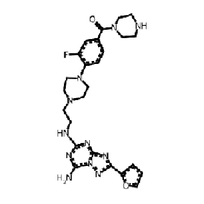 Nc1nc(NCCN2CCN(c3ccc(C(=O)N4CCNCC4)cc3F)CC2)nc2nc(-c3ccco3)nn12